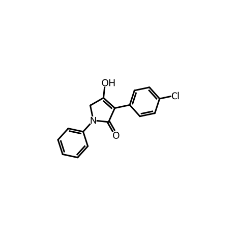 O=C1C(c2ccc(Cl)cc2)=C(O)CN1c1ccccc1